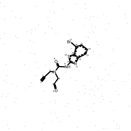 C#CCN(CC=O)C(=O)Nc1nc2cccc(Br)c2s1